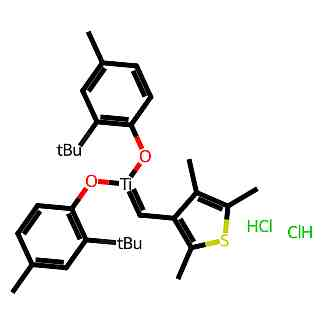 Cc1ccc([O][Ti](=[CH]c2c(C)sc(C)c2C)[O]c2ccc(C)cc2C(C)(C)C)c(C(C)(C)C)c1.Cl.Cl